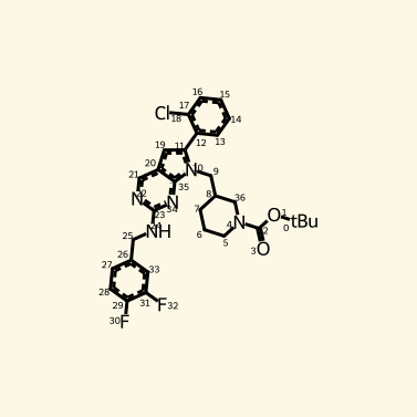 CC(C)(C)OC(=O)N1CCCC(Cn2c(-c3ccccc3Cl)cc3cnc(NCc4ccc(F)c(F)c4)nc32)C1